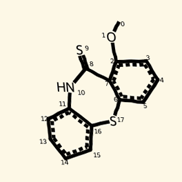 COc1cccc2c1C(=S)Nc1ccccc1S2